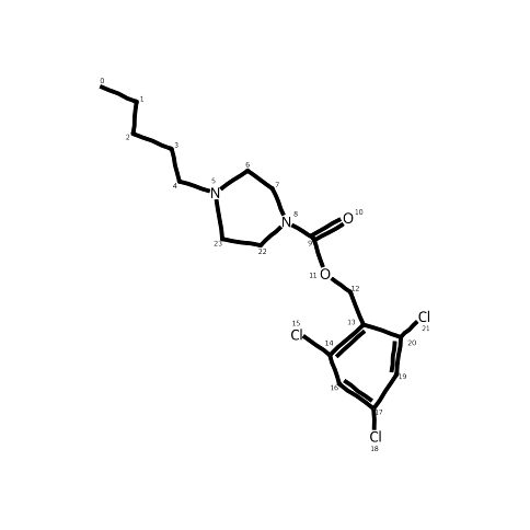 CCCCCN1CCN(C(=O)OCc2c(Cl)cc(Cl)cc2Cl)CC1